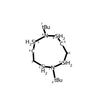 CC(C)(C)N1[SiH2]CC[SiH2]N(C(C)(C)C)[SiH2]CC[SiH2]1